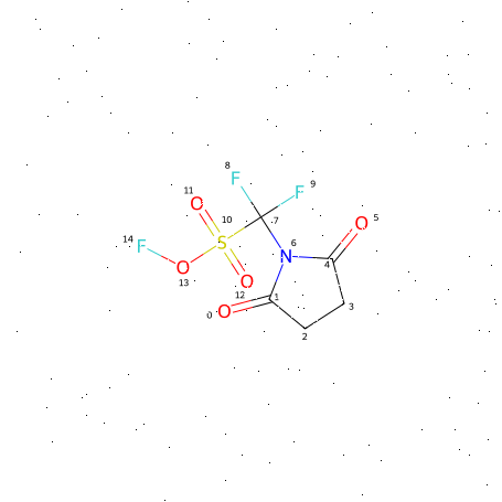 O=C1CCC(=O)N1C(F)(F)S(=O)(=O)OF